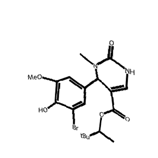 COc1cc(C2C(C(=O)OC(C)C(C)(C)C)=CNC(=O)N2C)cc(Br)c1O